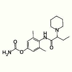 CCC(C(=O)Nc1c(C)cc(OC(N)=O)cc1C)N1CCCCC1